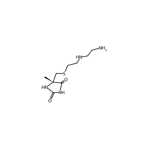 C[C@]1(CSCCNCCN)NC(=O)NC1=O